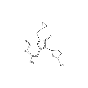 CCCC1CCC(n2c(=O)n(CC3CC3)c3c(=O)[nH]c(N)nc32)O1